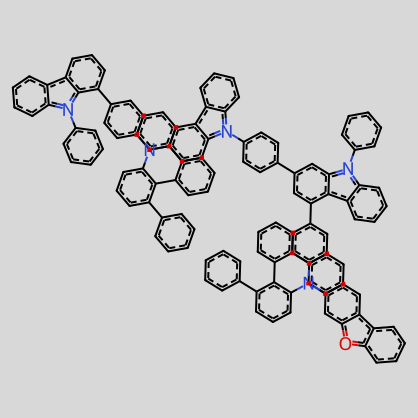 c1ccc(-c2ccccc2-c2c(-c3ccccc3)cccc2N(c2ccc(-c3cc(-c4ccc(-n5c6ccccc6c6cc(N(c7ccc(-c8cccc9c%10ccccc%10n(-c%10ccccc%10)c89)cc7)c7cccc(-c8ccccc8)c7-c7ccccc7-c7ccccc7)ccc65)cc4)cc4c3c3ccccc3n4-c3ccccc3)cc2)c2ccc3c(c2)oc2ccccc23)cc1